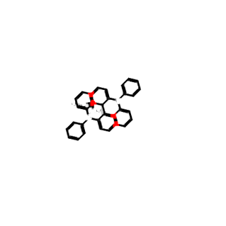 COC1(OC)C=CC=C(P(c2ccccc2)c2ccccc2)C1c1ccccc1P(c1ccccc1)c1ccccc1